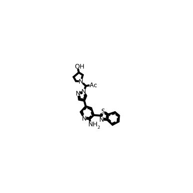 CC(=O)C(N1CCC(O)C1)n1cc(-c2cnc(N)c(-c3nc4ccccc4s3)c2)cn1